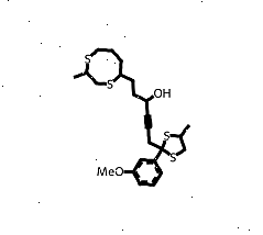 COc1cccc(C2(CC#CC(O)CCC3CCCSC(C)CS3)SCC(C)S2)c1